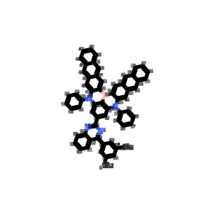 CC(C)(C)c1cc(-c2nc(-c3cc4c5c(c3)N(c3ccccc3)c3cc6cc7ccccc7cc6cc3B5c3cc5cc6ccccc6cc5cc3N4c3ccccc3)nc3ccccc23)cc(C(C)(C)C)c1